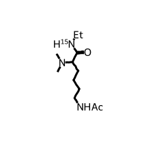 CN(C)C(CCCCNC([13CH3])=O)C(=O)[15NH]C[13CH3]